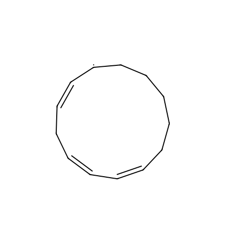 [CH]1C=CCC=CC=CCCCCC1